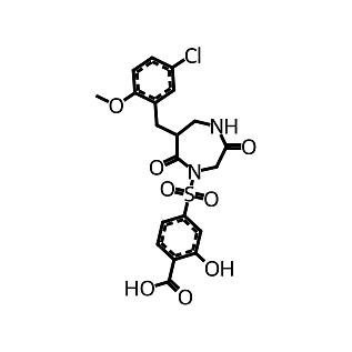 COc1ccc(Cl)cc1CC1CNC(=O)CN(S(=O)(=O)c2ccc(C(=O)O)c(O)c2)C1=O